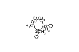 CC[C@H]1OC(=O)[C@H](C)/C=C/C(=O)[C@](C)(OCc2ccccc2)C[C@@H](C)[C@H](OCc2ccccc2)C=C=C=C1C